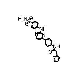 NS(=O)(=O)c1ccc(Nc2nccc(-c3ccc(NC(=O)Cc4cccs4)cc3)n2)cc1